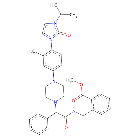 COC(=O)c1ccccc1CNC(=O)C(c1ccccc1)N1CCN(c2ccc(-n3ccn(C(C)C)c3=O)c(C)c2)CC1